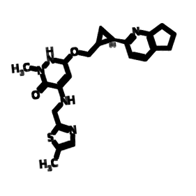 Cc1cnc(CNC2=CC(OCC3C[C@H]3c3ccc4c(n3)CCC4)NN(C)C2=O)s1